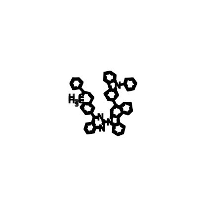 C=C(/C=C\c1cc(-c2nc(-n3c4ccccc4c4c5ccccc5c(-c5ccc6c7ccccc7n(-c7ccccc7)c6c5)cc43)nc3ccccc23)ccc1C)c1ccccc1